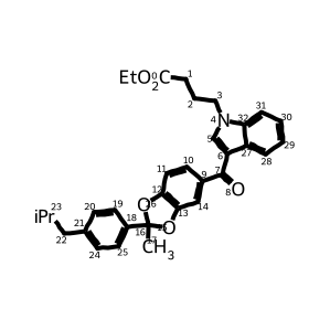 CCOC(=O)CCCn1cc(C(=O)c2ccc3c(c2)OC(C)(c2ccc(CC(C)C)cc2)O3)c2ccccc21